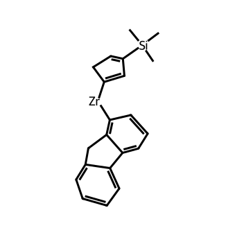 C[Si](C)(C)C1=CC[C]([Zr][c]2cccc3c2Cc2ccccc2-3)=C1